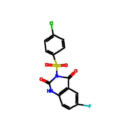 O=c1[nH]c2ccc(F)cc2c(=O)n1S(=O)(=O)c1ccc(Cl)cc1